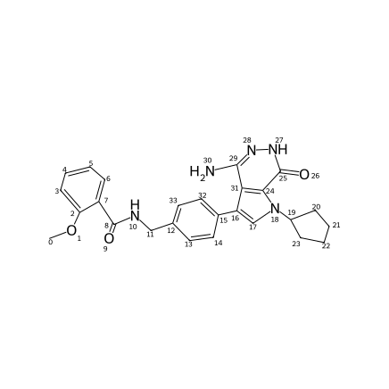 COc1ccccc1C(=O)NCc1ccc(-c2cn(C3CCCC3)c3c(=O)[nH]nc(N)c23)cc1